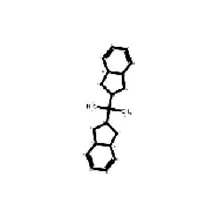 CC(C)(C1[C]C2C=CC=CC2C1)C1[C]C2C=CC=CC2C1